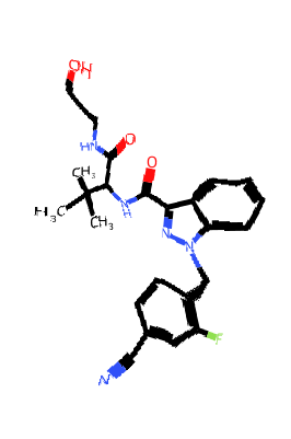 CC(C)(C)C(NC(=O)c1nn(Cc2ccc(C#N)cc2F)c2ccccc12)C(=O)NCCO